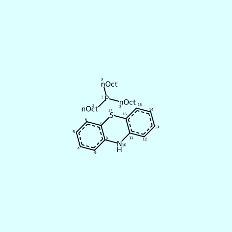 CCCCCCCCP(CCCCCCCC)CCCCCCCC.c1ccc2c(c1)Nc1ccccc1S2